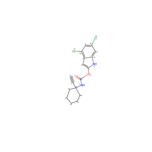 C#CC1(NC(=O)Oc2cc3c(Cl)cc(Cl)cc3[nH]2)CCCCC1